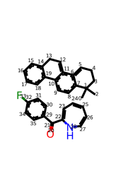 CC1(C)CCC=c2c1ccc1c2=CCc2ccccc2-1.O=C(C1=CC=CC=CN1)c1ccc(F)cc1